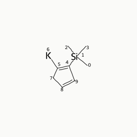 C[Si](C)(C)C1=[C]([K])CC=C1